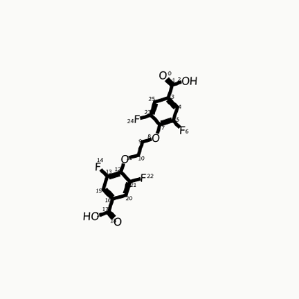 O=C(O)c1cc(F)c(OCCOc2c(F)cc(C(=O)O)cc2F)c(F)c1